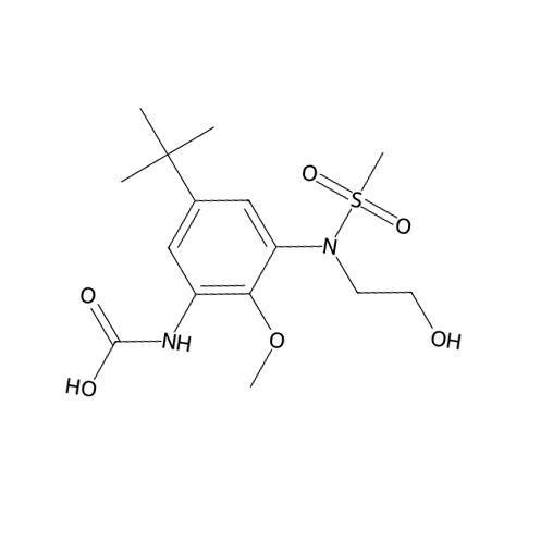 COc1c(NC(=O)O)cc(C(C)(C)C)cc1N(CCO)S(C)(=O)=O